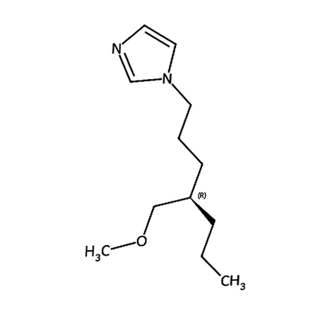 CCC[C@H](CCCn1ccnc1)COC